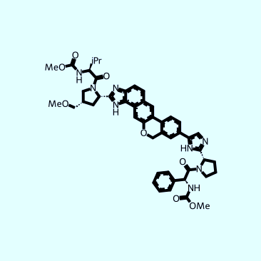 COC[C@H]1C[C@@H](c2nc3ccc4cc5c(cc4c3[nH]2)OCc2cc(-c3cnc([C@@H]4CCCN4C(=O)[C@H](NC(=O)OC)c4ccccc4)[nH]3)ccc2-5)N(C(=O)[C@@H](NC(=O)OC)C(C)C)C1